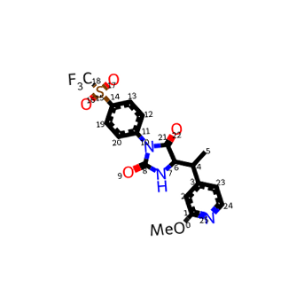 COc1cc(C(C)C2NC(=O)N(c3ccc(S(=O)(=O)C(F)(F)F)cc3)C2=O)ccn1